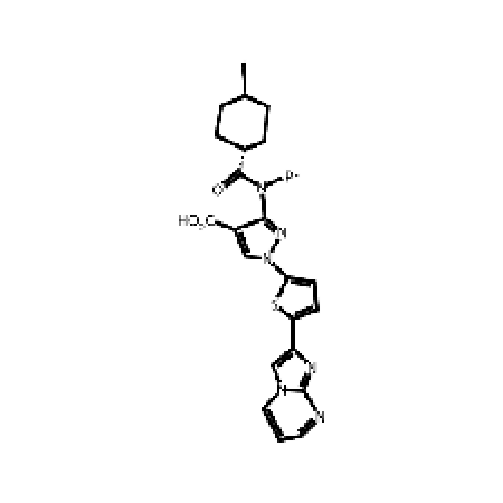 CC(C)N(c1nn(-c2ccc(-c3cn4cccnc4n3)s2)cc1C(=O)O)C(=O)[C@H]1CC[C@H](C)CC1